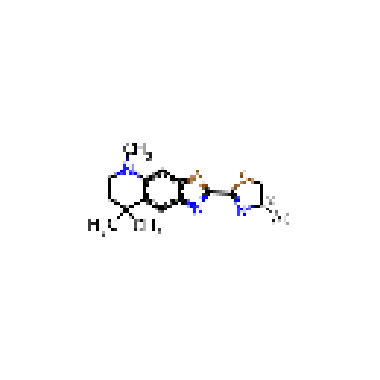 CC(=O)[C@H]1CSC(c2nc3cc4c(cc3s2)N(C)CCC4(C)C)=N1